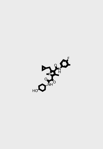 Cc1cc(NC(=O)c2c(C)c(C(=O)C(=O)N[C@H]3CC[C@@H](O)CC3)n(C)c2CC2CC2)ccc1F